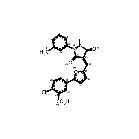 Cc1cccc(N2NC(=O)C(=Cc3ccc(-c4ccc(Cl)c(C(=O)O)c4)o3)C2=O)c1